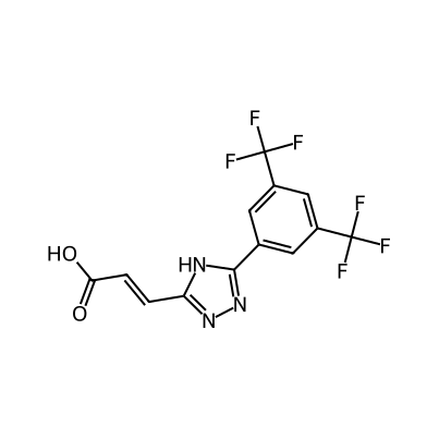 O=C(O)C=Cc1nnc(-c2cc(C(F)(F)F)cc(C(F)(F)F)c2)[nH]1